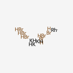 Br.Br.Br.Br.Br.Br.[KH].[KH].[KH].[Rh]